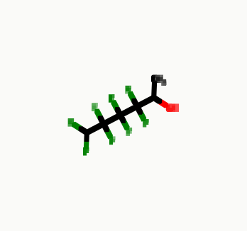 CC(O)C(F)(F)C(F)(F)C(F)(F)C(F)F